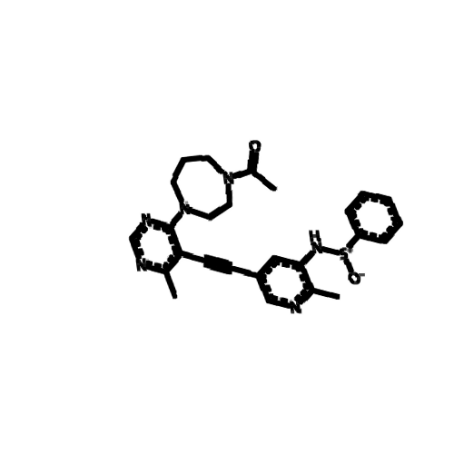 CC(=O)N1CCCN(c2ncnc(C)c2C#Cc2cnc(C)c(N[S+]([O-])c3ccccc3)c2)CC1